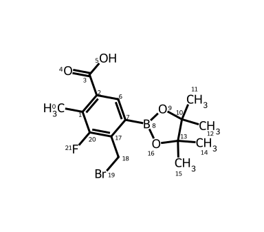 Cc1c(C(=O)O)cc(B2OC(C)(C)C(C)(C)O2)c(CBr)c1F